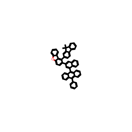 CC1(C)c2ccccc2-c2ccc(-c3c(-c4cc(-c5c6ccccc6c(-c6ccccc6)c6ccccc56)c5ccccc5c4)ccc4oc5ccccc5c34)cc21